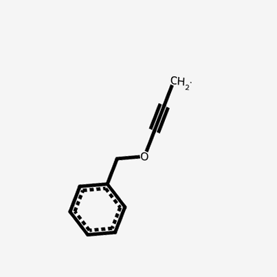 [CH2]C#COCc1ccccc1